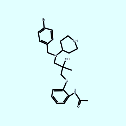 CC(=O)Nc1ccccc1OCC(C)(O)CN(Cc1ccc(Br)cc1)C1CCNCC1